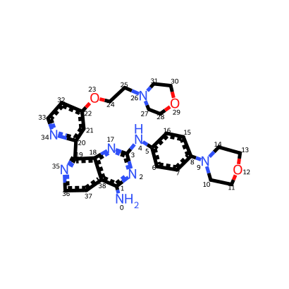 Nc1nc(Nc2ccc(N3CCOCC3)cc2)nc2c(-c3cc(OCCN4CCOCC4)ccn3)nccc12